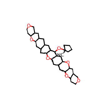 N#CC1(OC2C3CC4CC5CC6COCCC6OC5CC4CC3OC3CC4CC5OC6CCOCC6CC5OC4CC32)CCCC1